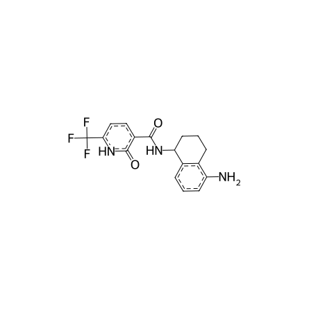 Nc1cccc2c1CCCC2NC(=O)c1ccc(C(F)(F)F)[nH]c1=O